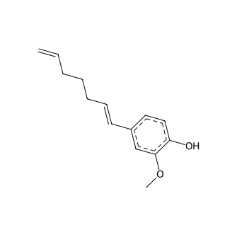 C=CCCCC=Cc1ccc(O)c(OC)c1